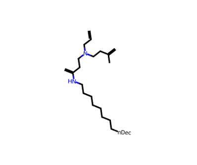 C=CCN(CCC(=C)C)CCC(=C)NCCCCCCCCCCCCCCCCCC